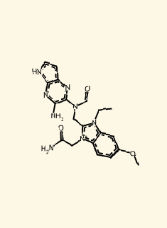 CCn1c(CN(C=O)c2nc3cc[nH]c3nc2N)[n+](CC(N)=O)c2ccc(OC)cc21